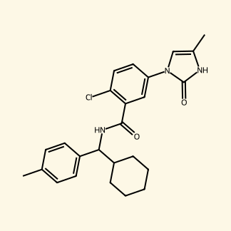 Cc1ccc(C(NC(=O)c2cc(-n3cc(C)[nH]c3=O)ccc2Cl)C2CCCCC2)cc1